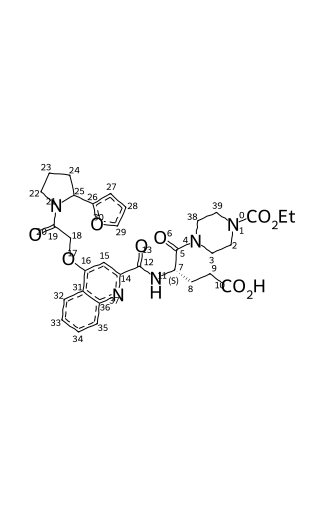 CCOC(=O)N1CCN(C(=O)[C@H](CCC(=O)O)NC(=O)c2cc(OCC(=O)N3CCCC3c3ccco3)c3ccccc3n2)CC1